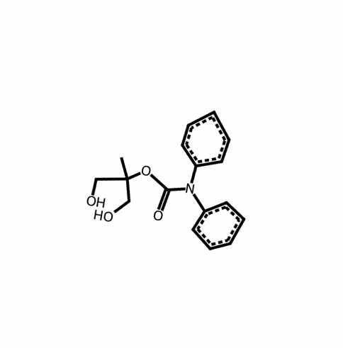 CC(CO)(CO)OC(=O)N(c1ccccc1)c1ccccc1